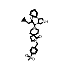 CS(=O)(=O)c1ccc(CN2CCC3(CCN(C(C(=O)CC4CC4)[C@@H]4CNC[C@@H]4c4ccccc4)CC3)C2=O)cc1